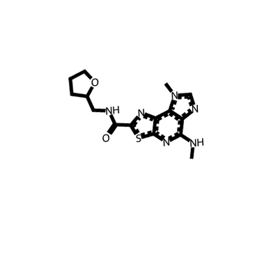 CNc1nc2sc(C(=O)NCC3CCCO3)nc2c2c1ncn2C